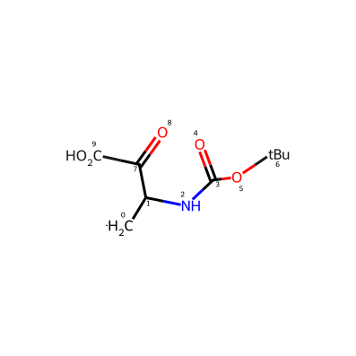 [CH2]C(NC(=O)OC(C)(C)C)C(=O)C(=O)O